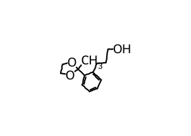 CC1(c2ccccc2CCCO)OCCO1